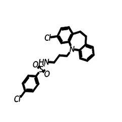 O=S(=O)(NCCCN1c2ccccc2CCc2ccc(Cl)cc21)c1ccc(Cl)cc1